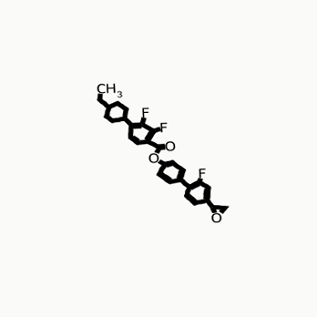 CCC1CCC(c2ccc(C(=O)Oc3ccc(-c4ccc(C5CO5)cc4F)cc3)c(F)c2F)CC1